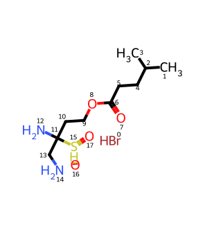 Br.CC(C)CCC(=O)OCCC(N)(CN)[SH](=O)=O